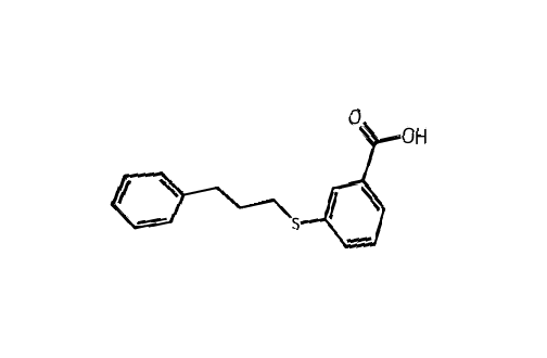 O=C(O)c1cccc(SCCCc2ccccc2)c1